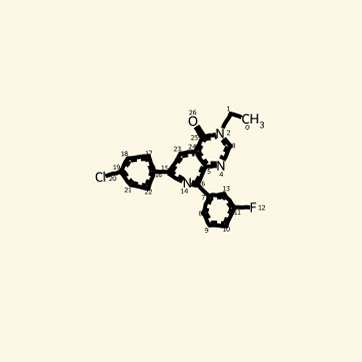 CCn1cnc2c(-c3cccc(F)c3)nc(-c3ccc(Cl)cc3)cc2c1=O